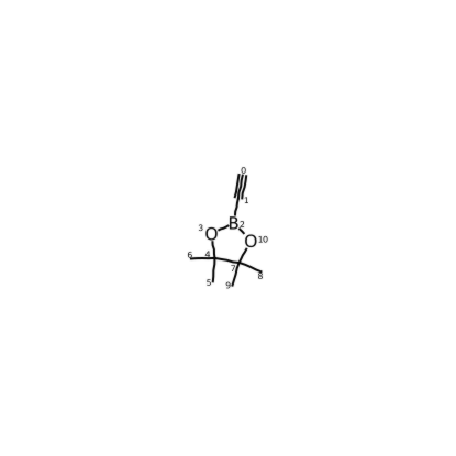 C#CB1OC(C)(C)C(C)(C)O1